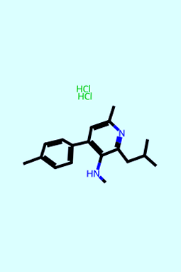 CNc1c(-c2ccc(C)cc2)cc(C)nc1CC(C)C.Cl.Cl